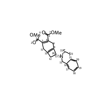 COC(=O)C1=C(C(=O)OC)CC2=C(C1)C[C@H]2N(Cc1ccccc1)SI